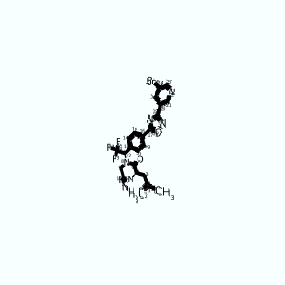 CC(C)C[C@H](N)C(=O)N(CC#N)[C@@H](c1ccc(-c2nc(-c3cncc(Br)c3)no2)cc1)C(F)(F)F